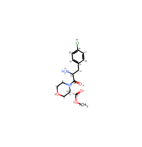 COC(=O)[C@@H]1COCCN1C(=O)C(N)Cc1ccc(Cl)cc1